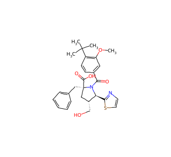 COc1cc(C(=O)N2[C@@H](c3nccs3)[C@H](CO)C[C@@]2(Cc2ccccc2)C(=O)O)ccc1C(C)(C)C